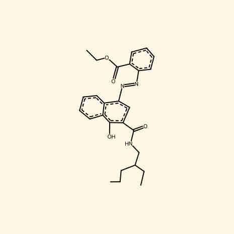 CCCC(CC)CNC(=O)c1cc(N=Nc2ccccc2C(=O)OCC)c2ccccc2c1O